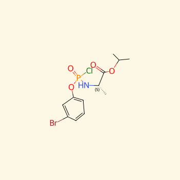 CC(C)OC(=O)[C@H](C)NP(=O)(Cl)Oc1cccc(Br)c1